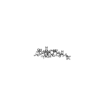 CCO[C@@H]([C@H]1C[C@@H](C)[C@H]2[C@H](O1)[C@H](O)[C@@]1(C)[C@@H]3CC[C@H]4C(C)(C)[C@@H](OC(=O)NCCN5CCC5)CC[C@@]45C[C@@]35CC[C@]21C)C(C)(C)O